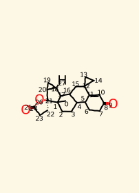 CC12CCC3C4CCC(=O)C=C4C4(CC4)CC3C1[C@H]1CC1[C@@]21CCC(=O)O1